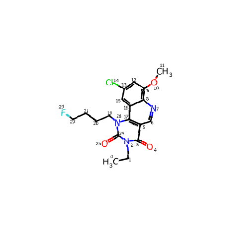 CCn1c(=O)c2cnc3c(OC)cc(Cl)cc3c2n(CCCCF)c1=O